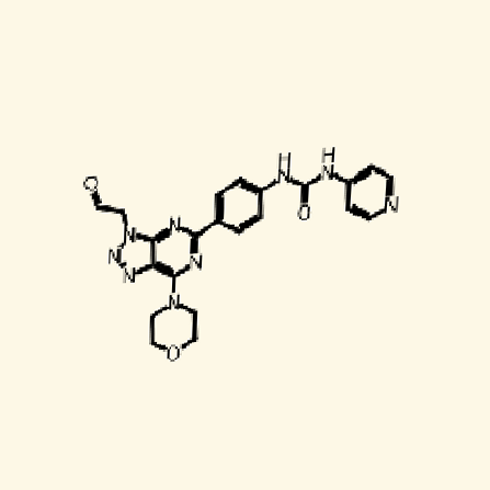 O=CCn1nnc2c(N3CCOCC3)nc(-c3ccc(NC(=O)Nc4ccncc4)cc3)nc21